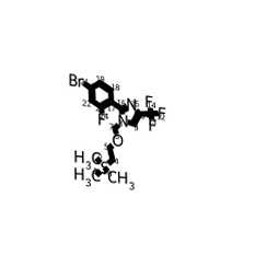 CS(C)(C)CCOCn1cc(C(F)(F)F)nc1-c1ccc(Br)cc1F